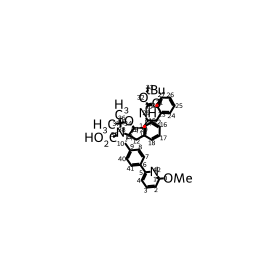 COc1cccc(-c2ccc(C[C@@]3(Cc4ccccc4)[C@H](C[C@H](Cc4ccccc4)NC(=O)OC(C)(C)C)OC(C)(C)N3C(=O)O)cc2)n1